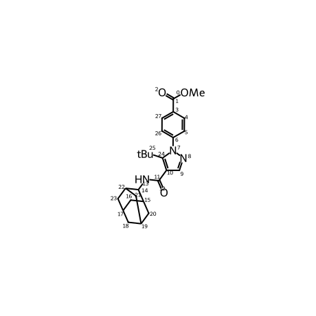 COC(=O)c1ccc(-n2ncc(C(=O)NC3C4CC5CC(C4)CC3C5)c2C(C)(C)C)cc1